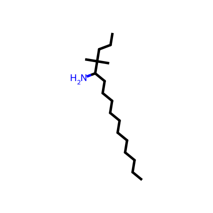 CCCCCCCCCCCC(N)C(C)(C)CCC